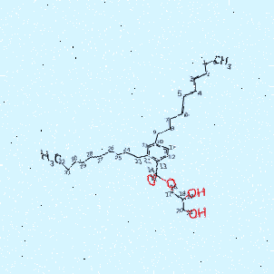 CCCCCCCCCCc1ccc(C(=O)OCC(O)CO)c(CCCCCCCCCC)c1